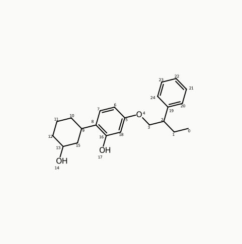 CCC(COc1ccc(C2CCCC(O)C2)c(O)c1)c1ccccc1